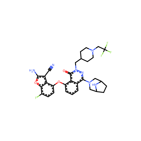 N#Cc1c(N)oc2c(F)ccc(Oc3cccc4c(N5CC6CCC(C5)N6)nn(CC5CCN(CC(F)(F)F)CC5)c(=O)c34)c12